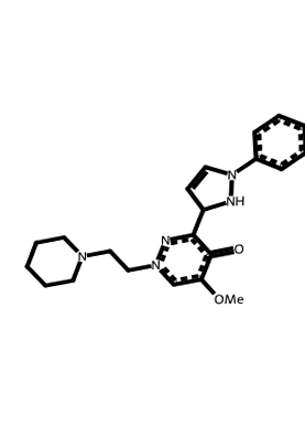 COc1cn(CCN2CCCCC2)nc(C2C=CN(c3ccccc3)N2)c1=O